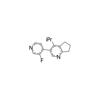 CC(C)c1c(-c2ccncc2F)cnc2c1CCC2